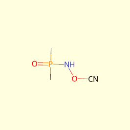 CP(C)(=O)NOC#N